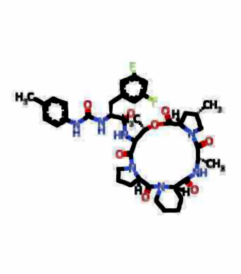 Cc1ccc(NC(=O)N[C@@H](Cc2cc(F)cc(F)c2)C(=O)NC2C(=O)N3CCC[C@H]3C(=O)N3CCCC[C@H]3C(=O)N[C@@H](C)C(=O)N3C[C@@H](C)C[C@H]3C(=O)O[C@H]2C)cc1